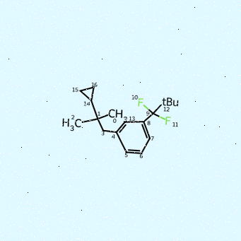 CC(C)(Cc1cccc(C(F)(F)C(C)(C)C)c1)C1CC1